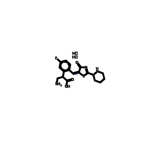 Cl.Cl.NCC(C(=O)O)c1cc(F)ccc1/C=C1/SC(N2CCCCN2)=NC1=O